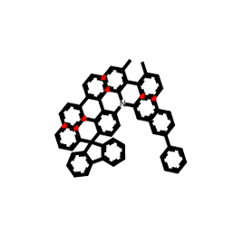 Cc1ccccc1-c1c(C)cccc1N(c1ccc2ccc(-c3ccccc3)cc2c1)c1ccc2c(c1-c1ccccc1-c1ccccc1)Sc1ccccc1C21c2ccccc2-c2ccccc21